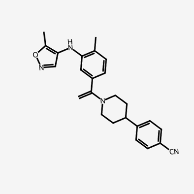 C=C(c1ccc(C)c(Nc2cnoc2C)c1)N1CCC(c2ccc(C#N)cc2)CC1